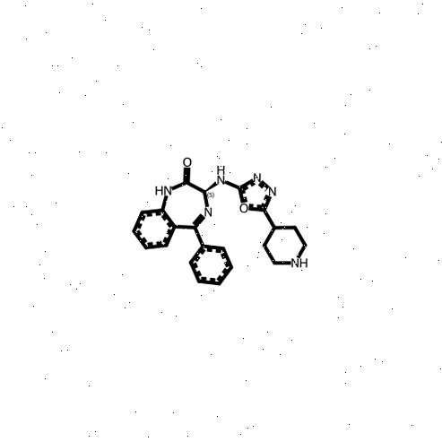 O=C1Nc2ccccc2C(c2ccccc2)=N[C@@H]1Nc1nnc(C2CCNCC2)o1